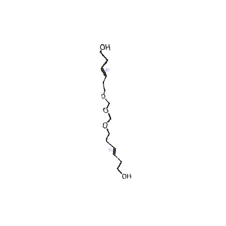 OCC/C=C/CCOCOCOCC/C=C/CCO